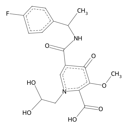 COc1c(C(=O)O)n(CC(O)O)cc(C(=O)NC(C)c2ccc(F)cc2)c1=O